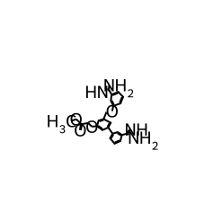 COC(=O)COc1cc(COc2cccc(C(=N)N)c2)cc(-c2cccc(C(=N)N)c2)c1